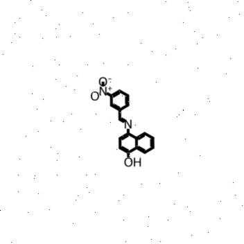 O=[N+]([O-])c1cccc(/C=N/c2ccc(O)c3ccccc23)c1